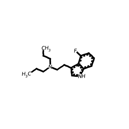 CCCN(CCC)CCc1c[nH]c2cccc(F)c12